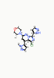 C[C@@H]1COCCN1c1cc(-c2ccnn2C)c2c(Cl)nc(-c3ccn[nH]3)n2n1